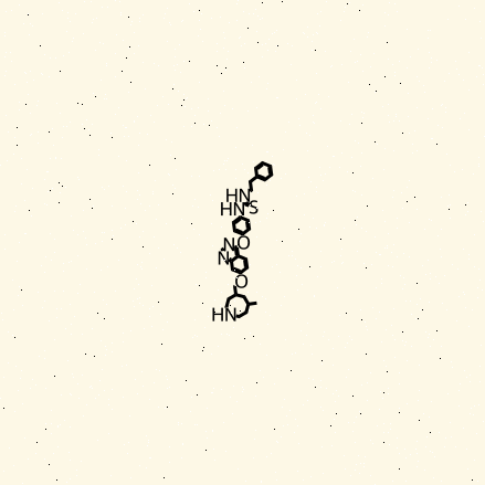 CC1CCNCCC(COc2ccc3c(Oc4ccc(NC(=S)NCCc5ccccc5)cc4)ncnc3c2)C1